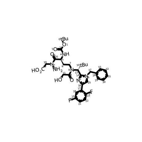 CC(C)(C)OC(=O)N[C@@H](CCN(C(=O)CO)[C@@H](c1nc(-c2cc(F)ccc2F)cn1Cc1ccccc1)C(C)(C)C)C(=O)N(N)CC(=O)O